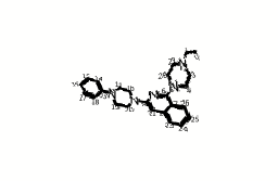 CCN1CCN(c2nc(N3CCN(c4ccccc4)CC3)cc3ccccc23)CC1